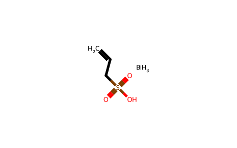 C=CCS(=O)(=O)O.[BiH3]